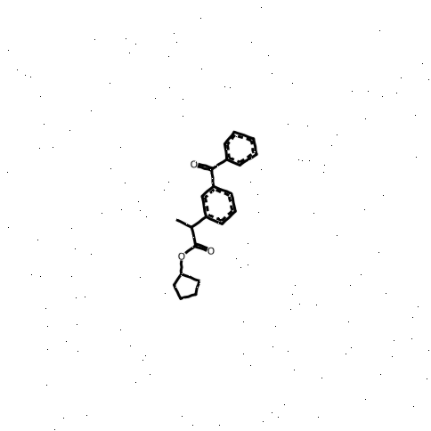 CC(C(=O)OC1CCCC1)c1cccc(C(=O)c2ccccc2)c1